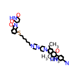 CCc1cc2c(cc1N1CCC(N3CCN(CCCCCCCSc4cccc5c4CN(C4CCC(=O)NC4=O)C5=O)CC3)CC1)C(C)(C)c1[nH]c3cc(C#N)ccc3c1C2=O